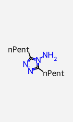 CCCCCc1nnc(CCCCC)n1N